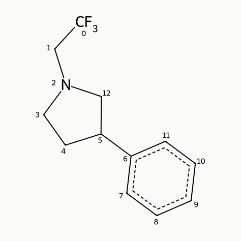 FC(F)(F)CN1CCC(c2ccccc2)C1